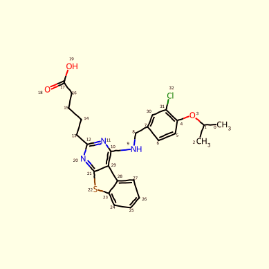 CC(C)Oc1ccc(CNc2nc(CCCCC(=O)O)nc3sc4ccccc4c23)cc1Cl